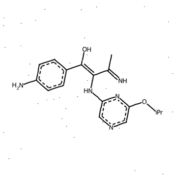 CC(=N)/C(Nc1cncc(OC(C)C)n1)=C(\O)c1ccc(N)cc1